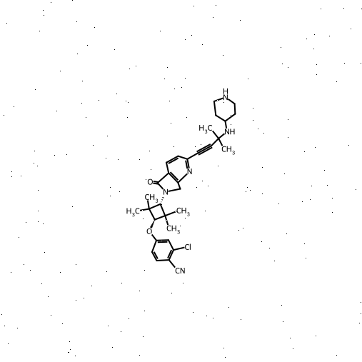 CC(C)(C#Cc1ccc2c(n1)CN([C@H]1C(C)(C)[C@H](Oc3ccc(C#N)c(Cl)c3)C1(C)C)C2=O)NC1CCNCC1